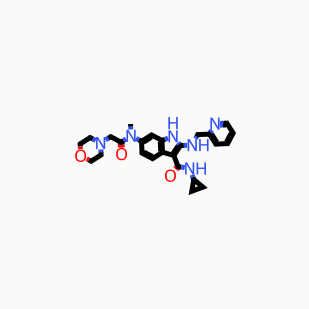 CN(C(=O)CN1CCOCC1)c1ccc2c(C(=O)NC3CC3)c(NCc3ccccn3)[nH]c2c1